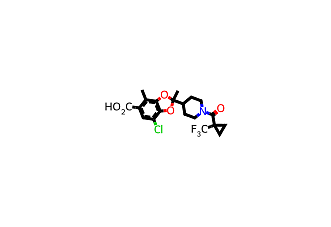 Cc1c(C(=O)O)cc(Cl)c2c1OC(C)(C1CCN(C(=O)C3(C(F)(F)F)CC3)CC1)O2